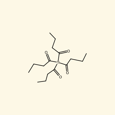 CCC[C](=O)[Ti]([C](=O)CCC)([C](=O)CCC)[C](=O)CCC